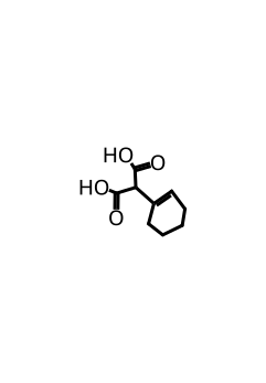 O=C(O)C(C(=O)O)C1=CCCCC1